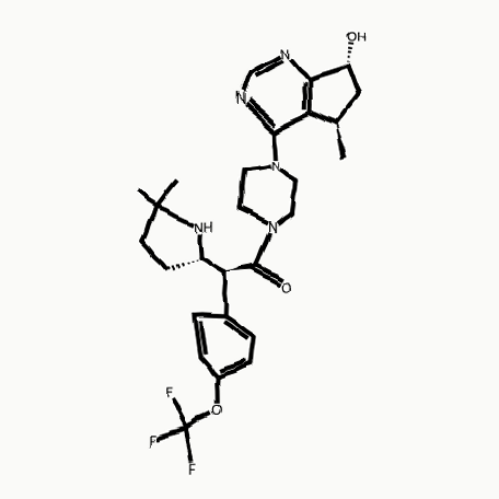 C[C@@H]1C[C@@H](O)c2ncnc(N3CCN(C(=O)[C@@H](c4ccc(OC(F)(F)F)cc4)[C@@H]4CCC(C)(C)N4)CC3)c21